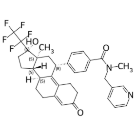 CN(Cc1cccnc1)C(=O)c1ccc([C@H]2C[C@@]3(C)[C@@H](CC[C@@]3(O)C(F)(F)C(F)(F)F)[C@@H]3CCC4=CC(=O)CCC4=C32)cc1